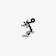 CC[C@H](CCCCC[C@@]1(CCC2CCCCC2)NC(=N)N(C)C1=O)NCC(=O)OC